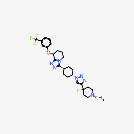 CN1CCC(F)(c2cn([C@H]3CC[C@H](c4nnc5n4CCCC5Oc4cccc(C(F)(F)F)c4)CC3)nn2)CC1